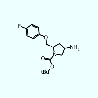 CC(C)(C)OC(=O)N1C[C@H](N)C[C@@H]1COc1ccc(F)cc1